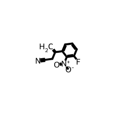 C=C(CC#N)c1cccc(F)c1[N+](=O)[O-]